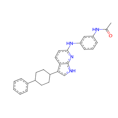 CC(=O)Nc1cccc(Nc2ccc3c(C4CCC(c5ccccc5)CC4)c[nH]c3n2)c1